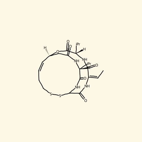 C/C=C1/NC(=O)C2NC(=O)[C@@H](C(C)C)NC(=O)C[C@@H](/C=C\CCSS2)OC(=O)[C@H](C(C)C)NC1=O